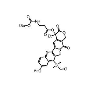 CCC1(OC(=O)CCNC(=O)OC(C)(C)C)C(=O)OCc2c1cc1n(c2=O)Cc2c-1nc1ccc(OC(C)=O)cc1c2[Si](C)(C)CCl